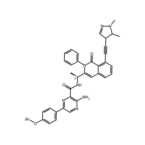 CC(C)Oc1ccc(-c2cnc(N)c(C(=O)N[C@@H](C)c3cc4cccc(C#CC5C=NN(C)C5C)c4c(=O)n3-c3ccccc3)n2)cc1